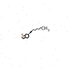 CCCCCCC#Cc1ccc2ccsc2c1